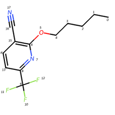 CCCCCOc1nc(C(F)(F)F)ccc1C#N